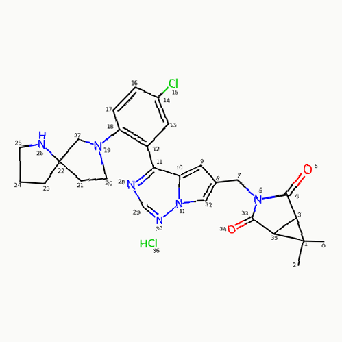 CC1(C)C2C(=O)N(Cc3cc4c(-c5cc(Cl)ccc5N5CCC6(CCCN6)C5)ncnn4c3)C(=O)C21.Cl